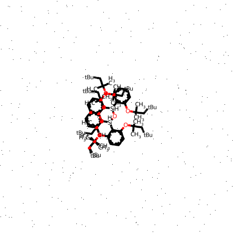 CC(C)(C)CC(C)(C)Oc1cccc(OC(C)(C)CC(C)(C)C)c1[SiH](O[SiH](c1c(OC(C)(C)CC(C)(C)C)cccc1OC(C)(C)CC(C)(C)C)c1c(OC(C)(C)CC(C)(C)C)cccc1OC(C)(C)CC(C)(C)C)c1c(OC(C)(C)CC(C)(C)C)cccc1OC(C)(C)CC(C)(C)C